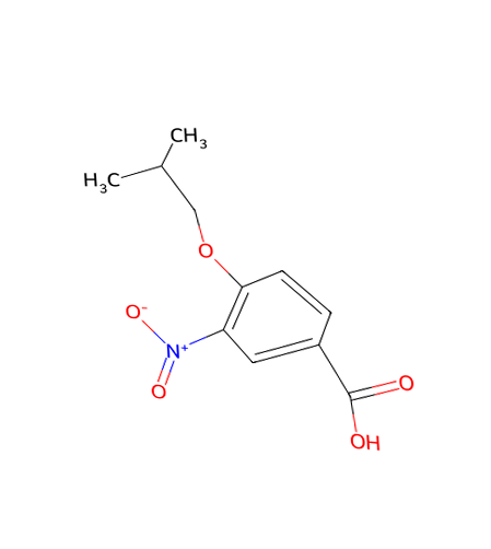 CC(C)COc1ccc(C(=O)O)cc1[N+](=O)[O-]